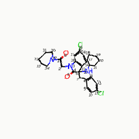 O=C(CN1C(=O)C(Cc2ccc(Cl)cc2)(NC2CCCCC2)c2ccc(Cl)cc21)N1CCCCC1